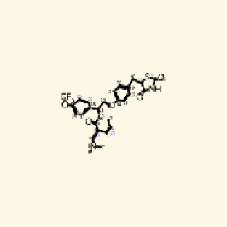 C/C=C\C(=C/N(C)C)C(=O)OC(COc1ccc(CC2SC(=O)NC2=O)cc1)c1ccc(OC(F)(F)F)cc1